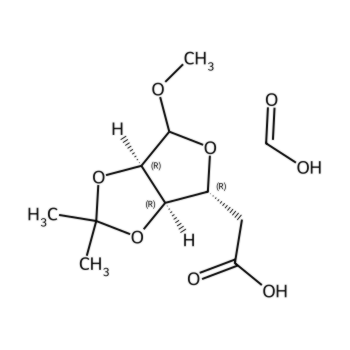 COC1O[C@H](CC(=O)O)[C@H]2OC(C)(C)O[C@@H]12.O=CO